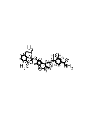 CCc1cccc(CC)c1NC(=O)Oc1cc(-c2ccnc(Nc3ccc(C(N)=O)cc3C)n2)n(C)c1